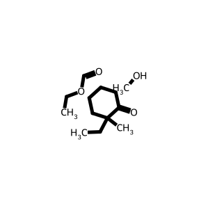 CCC1(C)CCCCC1=O.CCOC=O.CO